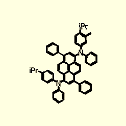 Cc1cc(N(c2ccccc2)c2cc(-c3ccccc3)c3ccc4c(N(c5ccccc5)c5ccc(C(C)C)cc5)cc(-c5ccccc5)c5ccc2c3c54)ccc1C(C)C